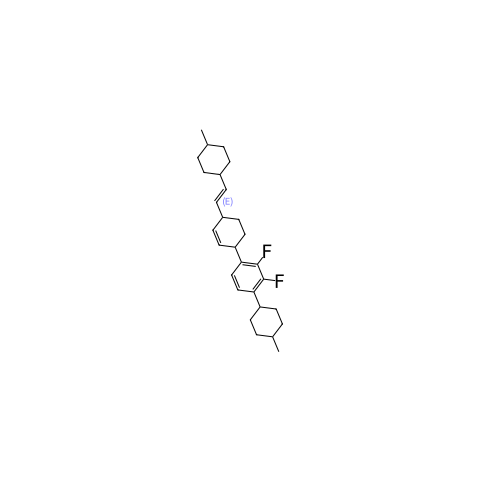 CC1CCC(/C=C/C2C=CC(c3ccc(C4CCC(C)CC4)c(F)c3F)CC2)CC1